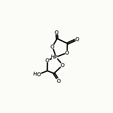 O=C1O[PH]2(OC1=O)OC(=O)C(O)O2